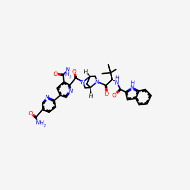 CC(C)(C)[C@H](NC(=O)c1cc2ccccc2[nH]1)C(=O)N1C[C@@H]2C[C@H]1CN2C(=O)c1ncc(-c2ccc(C(N)=O)cn2)cc1C(N)=O